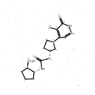 CCOC(=O)[C@@H]1CCC[C@H]1NC(=O)O[C@@H]1CCN(c2cn[nH]c(=O)c2Cl)C1